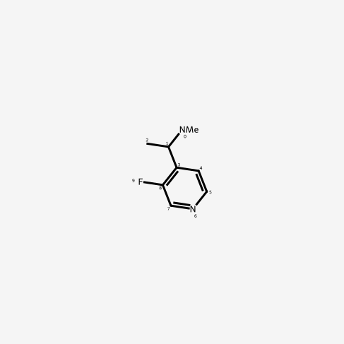 CNC(C)c1ccncc1F